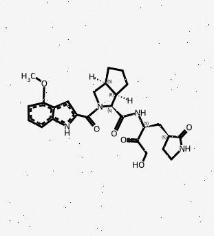 COc1cccc2[nH]c(C(=O)N3C[C@H]4CCC[C@H]4[C@H]3C(=O)N[C@@H](C[C@@H]3CCNC3=O)C(=O)CO)cc12